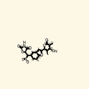 Cc1c(-c2cc3cc(C(C4OC(=O)NC4=O)=S(=O)=O)ccc3o2)oc(=O)c(C)c1O